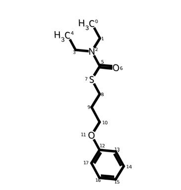 CCN(CC)C(=O)SCCCOc1[c]cccc1